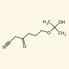 CC(C)(O)OCCCC(=O)CC#N